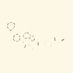 N#CCC(=O)N1CCCC(NC(=O)c2sc3c(N)ccc4c3c2C(N)C(=O)C4(N)c2ccc(Oc3ccccc3)cc2)C1